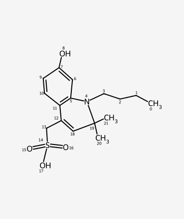 CCCCN1c2cc(O)ccc2C(CS(=O)(=O)O)=CC1(C)C